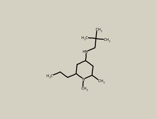 CCCC1CC(NCC(C)(C)C)CC(C)N1C